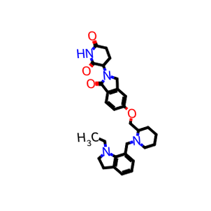 CCN1CCc2cccc(CN3CCCCC3COc3ccc4c(c3)CN(C3CCC(=O)NC3=O)C4=O)c21